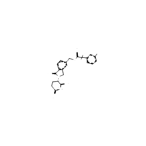 Cc1cccc(C(F)(F)C(=O)NCc2ccc3c(c2)CN([C@@H]2CCC(=O)NC2=O)C3=O)c1